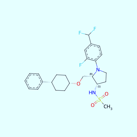 CS(=O)(=O)N[C@H]1CCN(c2ccc(C(F)F)cc2F)[C@H]1CO[C@H]1CC[C@@H](c2ccccc2)CC1